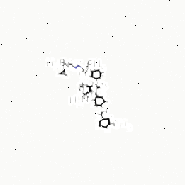 Cc1cccc(COc2ccc(-n3c(=O)n(-c4cccc(N(C)C(=O)/C=C/CN(C)C5CC5)c4)c4ncnc(N)c43)cc2)c1